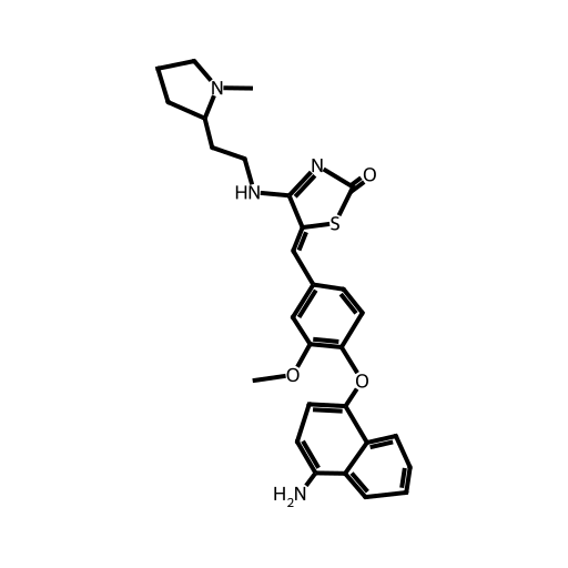 COc1cc(/C=C2\SC(=O)N=C2NCCC2CCCN2C)ccc1Oc1ccc(N)c2ccccc12